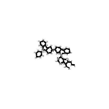 C=C/C=c1/oc2c(-n3c4ccccc4c4ccc(-c5ccc6c(c5)c5ccccc5n6-c5ccccc5)cc43)ncnc2/c1=C/C